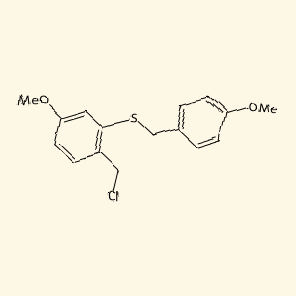 COc1ccc(CSc2cc(OC)ccc2CCl)cc1